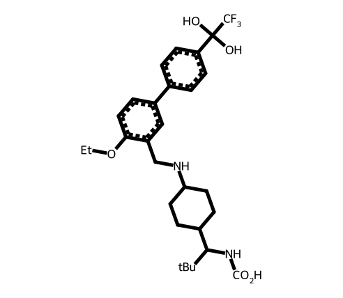 CCOc1ccc(-c2ccc(C(O)(O)C(F)(F)F)cc2)cc1CNC1CCC(C(NC(=O)O)C(C)(C)C)CC1